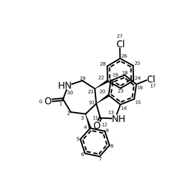 O=C1C[C@H](c2ccccc2)[C@@]2(C(=O)Nc3cc(Cl)ccc32)[C@H](c2cccc(Cl)c2)CN1